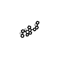 c1ccc(-c2c(-c3c4ccccc4c(-c4ccc5ccc6c7ccccc7oc6c5c4)c4ccccc34)oc3ccc4oc5ccccc5c4c23)cc1